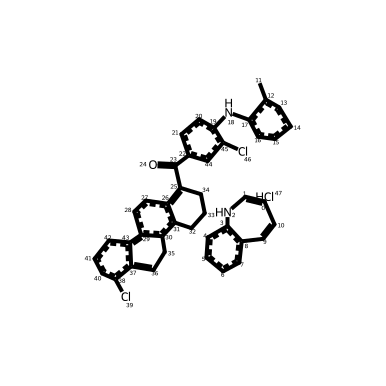 C1=CNc2ccccc2C=C1.Cc1ccccc1Nc1ccc(C(=O)C2=c3ccc4c(c3CCC2)CC=c2c(Cl)cccc2=4)cc1Cl.Cl